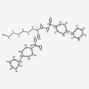 [CH2]CCCCCC[C](OOC(=O)c1ccc(-c2ccccc2)cc1)OOC(=O)c1ccc(-c2ccccc2)cc1